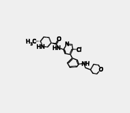 C[C@@H]1CC[C@@H](C(=O)Nc2cc(-c3cccc(NCC4CCOCC4)c3)c(Cl)cn2)CN1